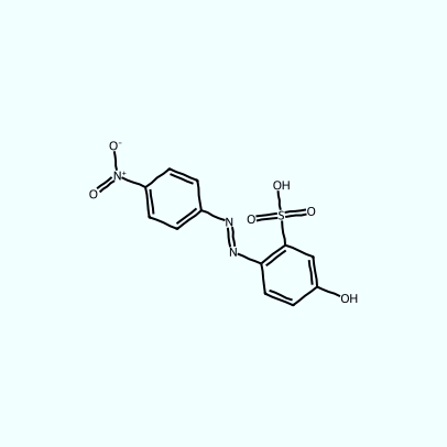 O=[N+]([O-])c1ccc(N=Nc2ccc(O)cc2S(=O)(=O)O)cc1